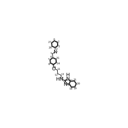 c1ccc([N]Cc2ccc(OCCCNc3nc4ccccc4[nH]3)cc2)cc1